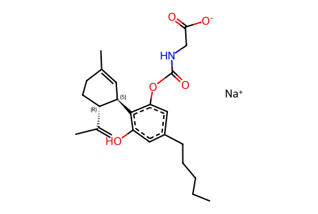 C=C(C)[C@@H]1CCC(C)=C[C@H]1c1c(O)cc(CCCCC)cc1OC(=O)NCC(=O)[O-].[Na+]